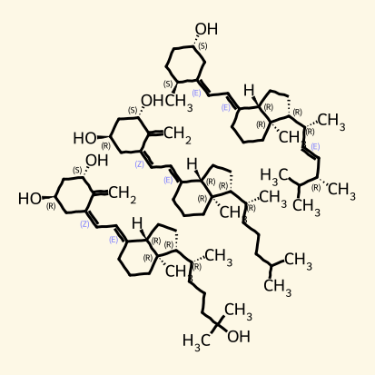 C=C1/C(=C\C=C2/CCC[C@]3(C)[C@@H]([C@H](C)CCCC(C)(C)O)CC[C@@H]23)C[C@@H](O)C[C@@H]1O.C=C1/C(=C\C=C2/CCC[C@]3(C)[C@@H]([C@H](C)CCCC(C)C)CC[C@@H]23)C[C@@H](O)C[C@@H]1O.CC(C)[C@@H](C)/C=C/[C@@H](C)[C@H]1CC[C@H]2/C(=C/C=C3\C[C@@H](O)CC[C@@H]3C)CCC[C@]12C